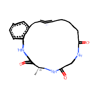 C[C@H]1NC(=O)CNC(=O)CCC/C=C/c2ccccc2NC1=O